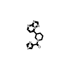 O=C(c1cscn1)N1CCCC(c2ccnc3ncnn23)C1